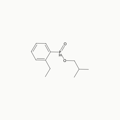 CCc1ccccc1[PH](=O)OCC(C)C